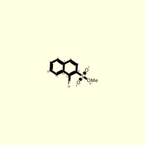 [CH2]OS(=O)(=O)c1ccc2ccccc2c1F